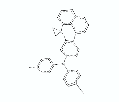 Cc1ccc(N(c2ccc(C)cc2)c2ccc3c(c2)C2(CC2)c2cccc4cccc-3c24)cc1